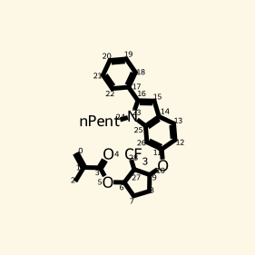 C=C(C)C(=O)OC1CCC(Oc2ccc3cc(-c4ccccc4)n(CCCCC)c3c2)C1C(F)(F)F